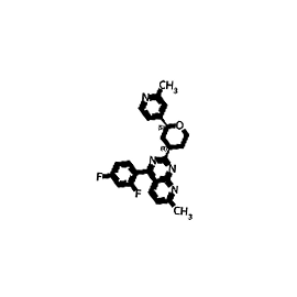 Cc1cc([C@@H]2C[C@H](c3nc(-c4ccc(F)cc4F)c4ccc(C)nc4n3)CCO2)ccn1